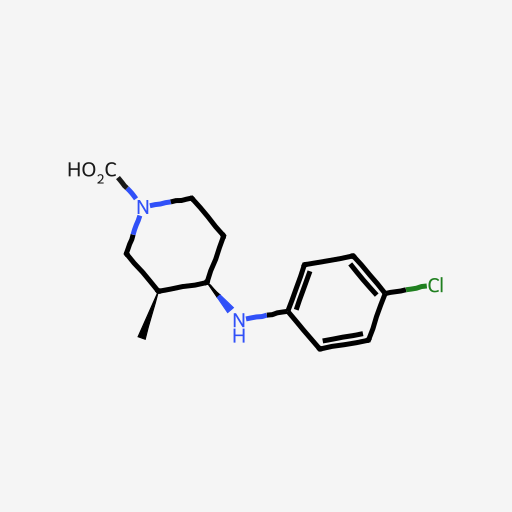 C[C@H]1CN(C(=O)O)CC[C@H]1Nc1ccc(Cl)cc1